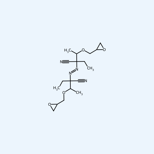 CCC(C#N)(/N=N/C(C#N)(CC)C(C)OCC1CO1)C(C)OCC1CO1